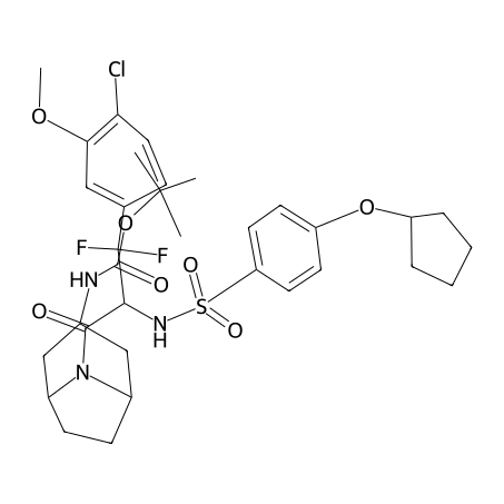 COc1cc(C(F)(F)C(NS(=O)(=O)c2ccc(OC3CCCC3)cc2)C(=O)N2C3CCC2CC(NC(=O)OC(C)(C)C)C3)ccc1Cl